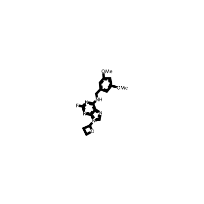 COc1cc(CNc2nc(F)nc3c2ncn3C2CCO2)cc(OC)c1